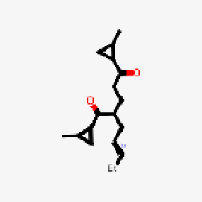 CC/C=C/CC(CCC(=O)C1CC1C)C(=O)C1CC1C